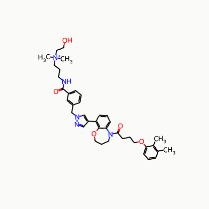 Cc1cccc(OCCCC(=O)N2CCCOc3c(-c4cnn(Cc5cccc(C(=O)NCCC[N+](C)(C)CCO)c5)c4)cccc32)c1C